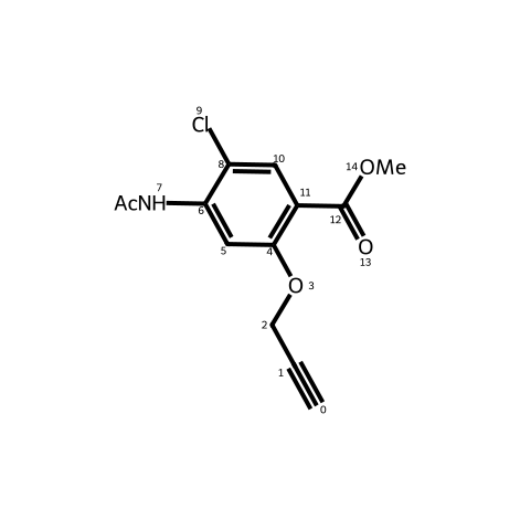 C#CCOc1cc(NC(C)=O)c(Cl)cc1C(=O)OC